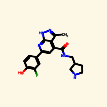 Cc1n[nH]c2nc(-c3ccc(O)c(F)c3)cc(C(=O)NCC3CCNC3)c12